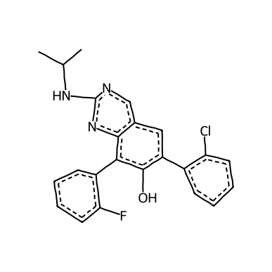 CC(C)Nc1ncc2cc(-c3ccccc3Cl)c(O)c(-c3ccccc3F)c2n1